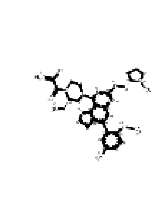 C=C(F)C(=O)N1CCN(c2nc(OC[C@@H]3CCCN3C)nc3cc(-c4cc(N)ccc4OC(F)(F)F)c4ccoc4c23)C[C@@H]1CC#N